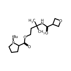 CC(C)(CCOC(=O)C1CCCN1C(C)(C)C)NC(=O)C1COC1